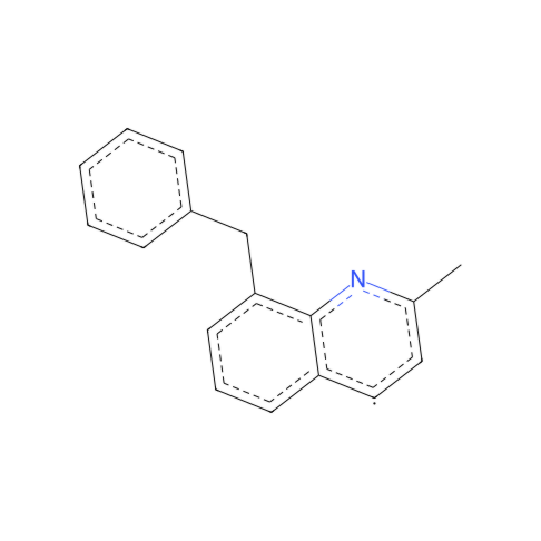 Cc1c[c]c2cccc(Cc3ccccc3)c2n1